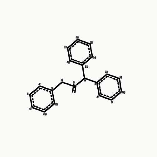 c1ccc(CNC(c2ccccc2)c2ccccc2)cc1